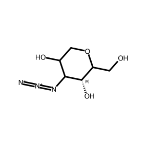 [N-]=[N+]=NC1C(O)COC(CO)[C@@H]1O